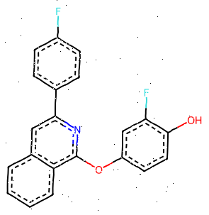 Oc1ccc(Oc2nc(-c3ccc(F)cc3)cc3ccccc23)cc1F